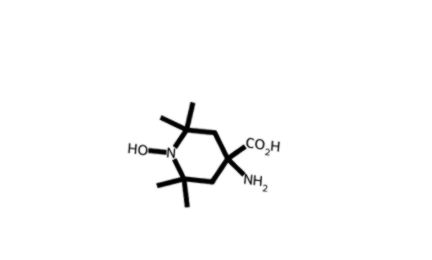 CC1(C)CC(N)(C(=O)O)CC(C)(C)N1O